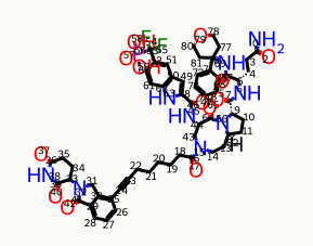 NC(=O)CC[C@H](NC(=O)[C@@H]1CC[C@@H]2CCN(C(=O)CCCCCC#Cc3cccc4c3CN(C3CCC(=O)NC3=O)C4=O)C[C@H](NC(=O)c3cc4cc(C(F)(F)P(=O)(O)O)ccc4[nH]3)C(=O)N21)C(=O)NC1(c2ccccc2)CCOCC1